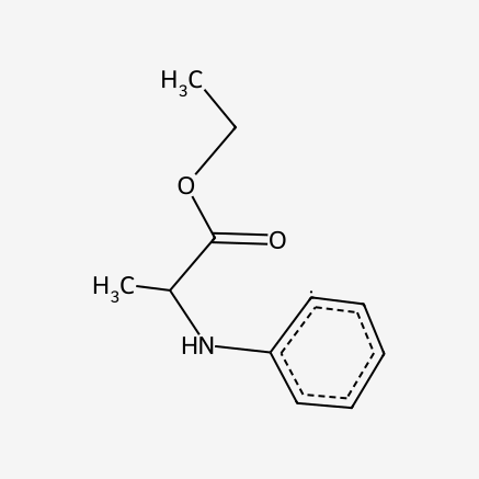 CCOC(=O)C(C)Nc1[c]cccc1